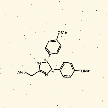 COc1ccc([C@H]2N=C(CSC)N[C@@H]2c2ccc(OC)cc2)cc1